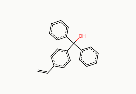 C=Cc1ccc(C(O)(c2ccccc2)c2ccccc2)cc1